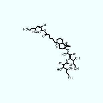 C=C1C[C@@]23CCC[C@@](C)(CCCCC(=O)OC(O)/C(O)=C\C(O)CCO)[C@@H]2CC[C@]1(OC(O)/C(O)=C(\OC(O)/C(O)=C(/O)C(O)CCO)C(O)CCO)[C@@H]3C